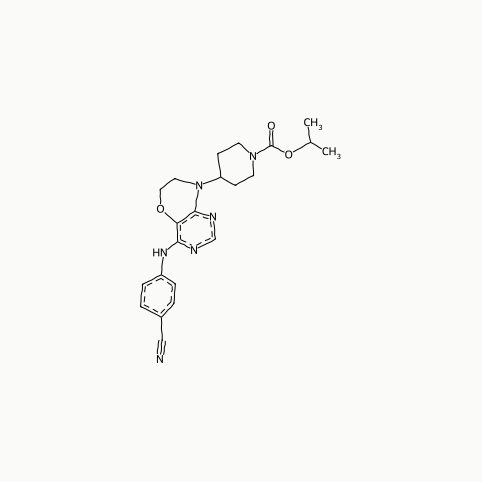 CC(C)OC(=O)N1CCC(N2CCOc3c(Nc4ccc(C#N)cc4)ncnc32)CC1